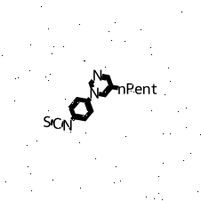 CCCCCC1=CN(c2ccc(N=C=S)cc2)CN=C1